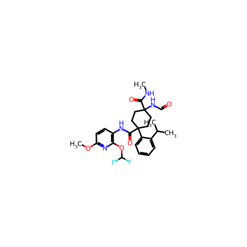 CNC(=O)C1(NC=O)CCC(C(=O)Nc2ccc(OC)nc2OC(F)F)(c2ccccc2C(C)C)CC1